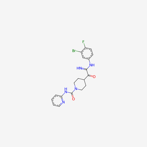 N=C(Nc1ccc(F)c(Br)c1)C(=O)C1CCN(C(=O)Nc2ccccn2)CC1